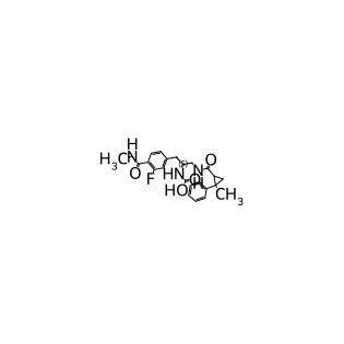 CNC(=O)c1ccc(C[C@@H](CNC(=O)C2CC2(C)c2ccccc2)NC(=O)O)cc1F